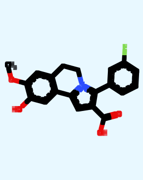 COc1cc2c(cc1O)-c1cc(C(=O)O)c(-c3cccc(F)c3)n1CC2